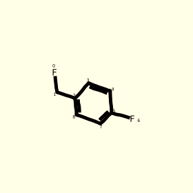 FCc1c[c]c(F)cc1